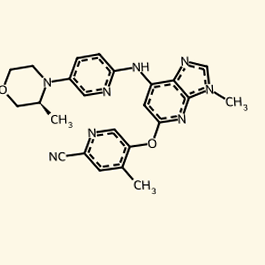 Cc1cc(C#N)ncc1Oc1cc(Nc2ccc(N3CCOC[C@@H]3C)cn2)c2ncn(C)c2n1